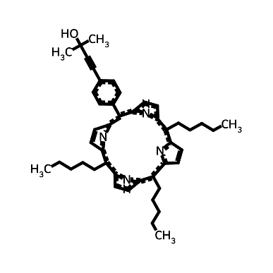 CCCCCc1c2nc(c(CCCCC)c3ccc([nH]3)c(-c3ccc(C#CC(C)(C)O)cc3)c3nc(c(CCCCC)c4ccc1[nH]4)C=C3)C=C2